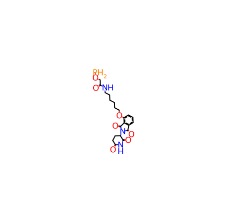 O=C(COP)NCCCCCCOc1cccc2c1C(=O)N(C1CCC(=O)NC1=O)C2=O